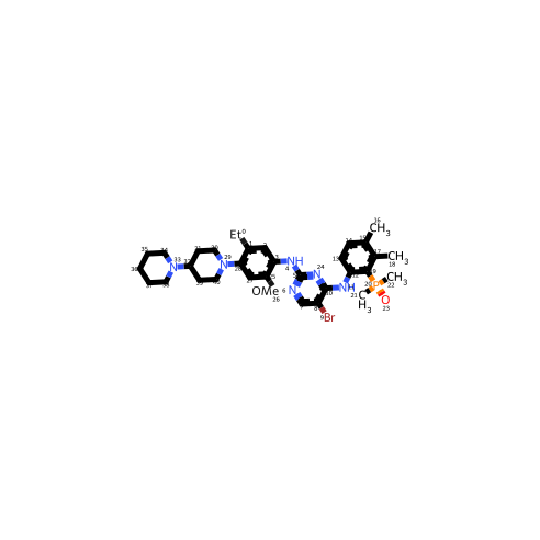 CCc1cc(Nc2ncc(Br)c(Nc3ccc(C)c(C)c3P(C)(C)=O)n2)c(OC)cc1N1CCC(N2CCCCC2)CC1